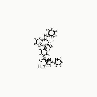 Nc1nc(-c2ccccn2)nn1C(=O)c1ccc(NC(=O)[C@@H](Cc2ccccc2)NC2CCCCC2)cc1